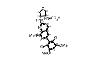 CNc1nc(-c2c(Cl)c(OC)cc(OC)c2Cl)cc2cnc(N[C@@H]3COC[C@@H]3NC(=O)O)nc12